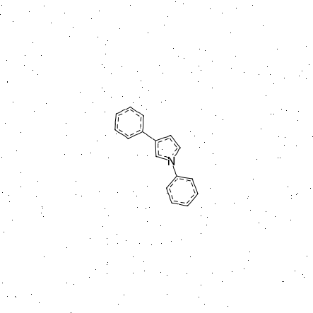 c1ccc(-c2ccn(-c3ccccc3)c2)cc1